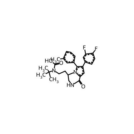 Cc1cccc(-c2c(-c3ccc(F)c(F)c3)cc3n2C(CCN(C(=O)O)C(C)(C)C)CNC3=O)c1